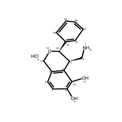 Cl.NC[C@H]1c2c(ccc(O)c2O)CO[C@H]1c1ccccc1